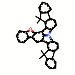 CC1(C)c2ccccc2-c2ccc3c(c21)c1cc2c4ccccc4oc2c2c4c5c(ccc4n3c12)-c1ccccc1C5(C)C